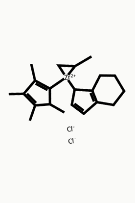 CC1=C(C)C(C)[C]([Zr+2]2([CH]3C=CC4=C3CCCC4)[CH2][CH]2C)=C1C.[Cl-].[Cl-]